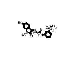 CCN1C(=O)C(=NNC(=S)Nc2cccc(S(N)(=O)=O)c2)c2ccc(Br)cc21